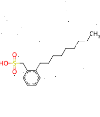 CCCCCCCCCc1ccccc1CS(=O)(=O)O